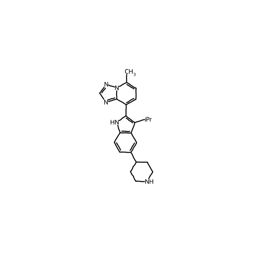 Cc1ccc(-c2[nH]c3ccc(C4CCNCC4)cc3c2C(C)C)c2ncnn12